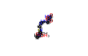 CC(C)(O)c1cc2nc([C@H]3CC[C@H](CN4CCC(CCNc5cccc6c5C(=O)N(C5CCC(=O)NC5=O)C6=O)CC4)CC3)sc2cc1N1CCc2ccccc2C1=O